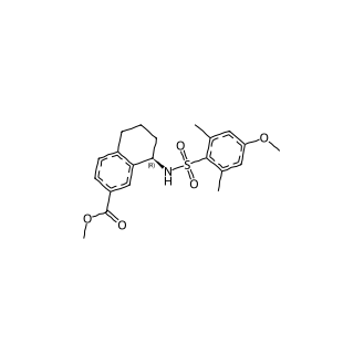 COC(=O)c1ccc2c(c1)[C@H](NS(=O)(=O)c1c(C)cc(OC)cc1C)CCC2